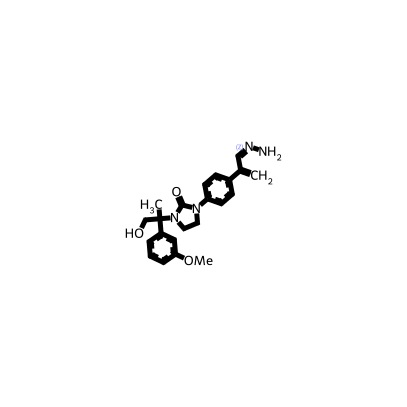 C=C(/C=N\N)c1ccc(N2CCN(C(C)(CO)c3cccc(OC)c3)C2=O)cc1